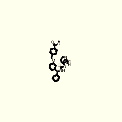 COC(=O)c1ccc(COc2cccc(C(NC(=O)O[C@H]3CN4CCC3CC4)c3ccccc3)c2)cc1.Cl